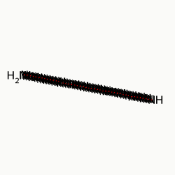 N=N/N=N/N=N/N=N/N=N/N=N/N=N/N=N/N=N/N=N/N=N/N=N/N=N/N=N/N=N/N=N/N=N/N=N/N=N/N=N/N=N/N=N/N=N/N=N/N=N/N=N/N=N/N=N/N=N/N=N/N=N/N=N/N=N/N=N/N=N/N=N/N=N/N=N/N=N/N=N/N=N/N=N/N=N/N=N/N=N/N